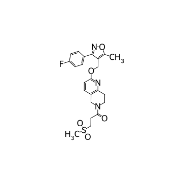 Cc1onc(-c2ccc(F)cc2)c1COc1ccc2c(n1)CCN(C(=O)CCS(C)(=O)=O)C2